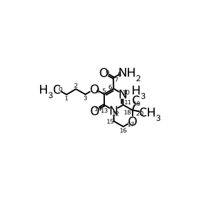 CCCCOc1c(C(N)=O)nc2n(c1=O)CCOC2(C)C